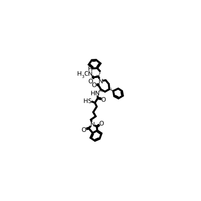 CNC(=O)[C@H](Cc1ccccc1)N1CC[C@H](C2C=CC=CC2)C[C@H](NC(=O)C(S)CCCCN2C(=O)c3ccccc3C2=O)C1=O